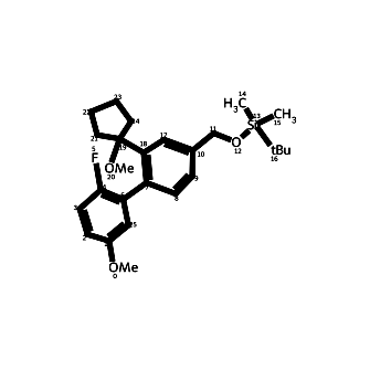 COc1ccc(F)c(-c2ccc(CO[Si](C)(C)C(C)(C)C)cc2C2(OC)CCCC2)c1